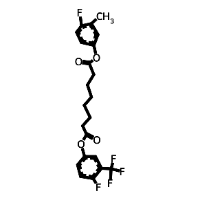 Cc1cc(OC(=O)CCCCCCC(=O)Oc2ccc(F)c(C(F)(F)F)c2)ccc1F